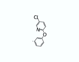 Clc1ccc(Oc2c[c]ccc2)nc1